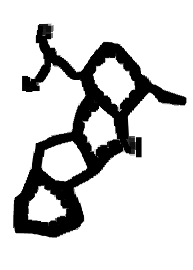 CCN(CC)c1ccc(C)c2[nH]c3c(c12)Cc1ccccc1-3